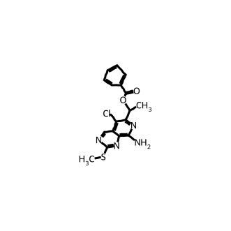 CSc1ncc2c(Cl)c(C(C)OC(=O)c3ccccc3)nc(N)c2n1